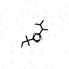 CC(C)C(C)c1nc(C(C)(C)CF)co1